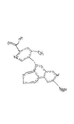 CCCC(=O)c1cc(C)c(-c2cc3cnc(NC)cc3c3ccnn23)cn1